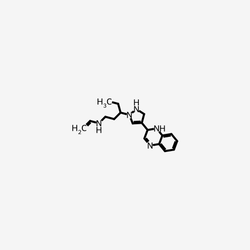 C=CNCCC(CC)N1C=C(C2C=Nc3ccccc3N2)CN1